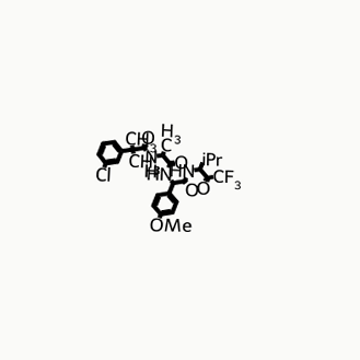 COc1ccc(C(NC(=O)C(C)NC(=O)C(C)(C)c2cccc(Cl)c2)C(=O)NC(C(=O)C(F)(F)F)C(C)C)cc1